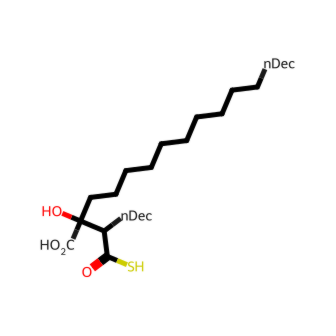 CCCCCCCCCCCCCCCCCCCCC(O)(C(=O)O)C(CCCCCCCCCC)C(=O)S